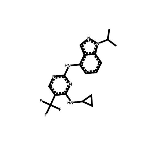 CC(C)n1ncc2c(Nc3ncc(C(F)(F)F)c(NC4CC4)n3)cccc21